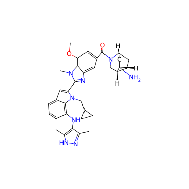 COc1cc(C(=O)N2C[C@H]3CC[C@@H]2C[C@@H]3N)cc2nc(-c3cc4cccc(Nc5c(C)n[nH]c5C)c4n3CC3CC3)n(C)c12